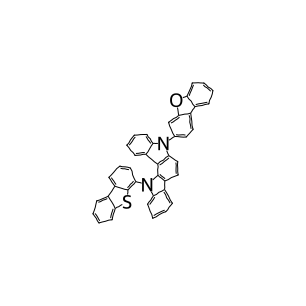 c1ccc2c(c1)oc1cc(-n3c4ccccc4c4c3ccc3c5ccccc5n(-c5cccc6c5sc5ccccc56)c34)ccc12